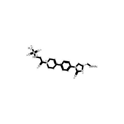 CC(=O)NC[C@H]1CN(c2ccc(C3=CCN(C(=O)CNS(C)(=O)=O)CC3)cc2)C(=O)O1